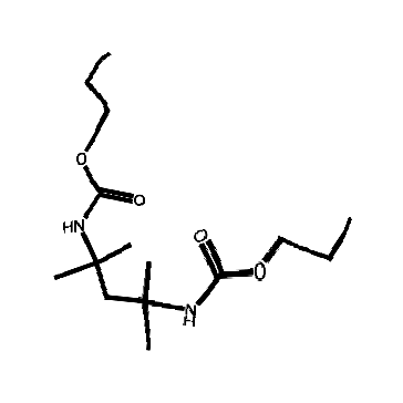 CCCOC(=O)NC(C)(C)CC(C)(C)NC(=O)OCCC